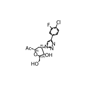 CC(=O)[C@H]1C[C@@H](n2cc(-c3ccc(Cl)c(F)c3)nn2)[C@@H](O)[C@@H](CO)O1